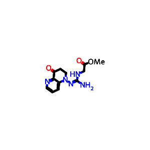 COC(=O)CNC(N)=NN1CCC(=O)c2ncccc21